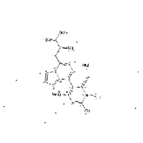 COC(=O)[C@@H](N)Cc1ccc(-c2c(OC)cc(C)n(C)c2=O)c2nccn12.Cl